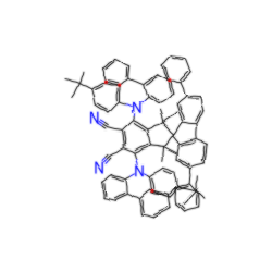 CC(C)(C)c1ccc(N(c2ccccc2-c2ccccc2)c2c(C#N)c(C#N)c(N(c3ccc(C(C)(C)C)cc3)c3ccccc3-c3ccccc3)c3c2C(C)(C)C2(c4cc(-c5ccccc5)ccc4-c4ccc(-c5ccccc5)cc42)C3(C)C)cc1